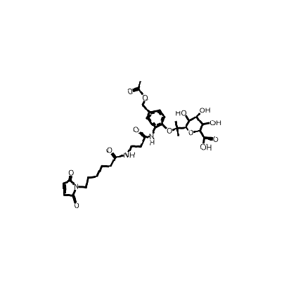 CC(=O)OCc1ccc(OC(C)(C)C2OC(C(=O)O)C(O)C(O)C2O)c(NC(=O)CCNC(=O)CCCCCN2C(=O)C=CC2=O)c1